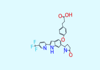 CN1C(=O)CCC1c1cc2[nH]c(-c3ccc(C(F)(F)F)cn3)cc2cc1Oc1ccc(CCC(=O)O)cc1